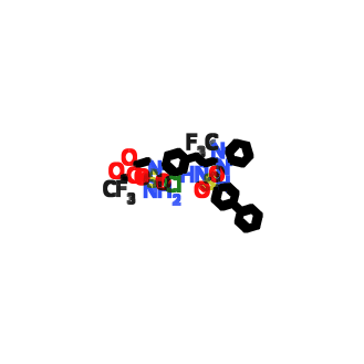 NS(=O)(=O)N(CC(=O)OC(=O)C(F)(F)F)c1ccc(CC(NS(=O)(=O)c2ccc(-c3ccccc3)cc2)C2Nc3ccccc3N2C(F)(F)F)cc1Cl